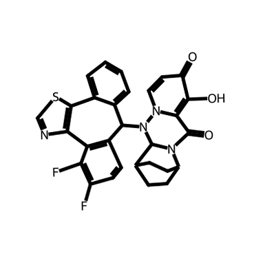 O=C1c2c(O)c(=O)ccn2N(C2c3ccccc3-c3scnc3-c3c2ccc(F)c3F)C2C3CCC(CC3)N12